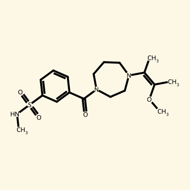 CNS(=O)(=O)c1cccc(C(=O)N2CCCN(/C(C)=C(/C)OC)CC2)c1